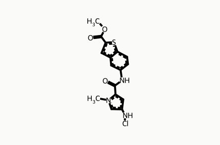 COC(=O)c1cc2cc(NC(=O)c3cc(NCl)cn3C)ccc2s1